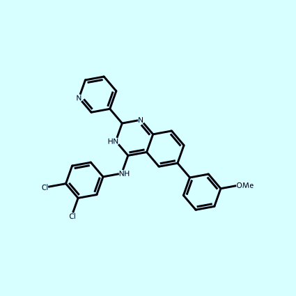 COc1cccc(-c2ccc3c(c2)=C(Nc2ccc(Cl)c(Cl)c2)NC(c2cccnc2)N=3)c1